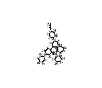 N#Cc1ccc(-c2cccc(-c3ccc(-c4ccccc4)cc3-n3c4ccccc4c4ccccc43)c2)nc1